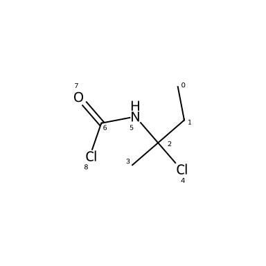 CCC(C)(Cl)NC(=O)Cl